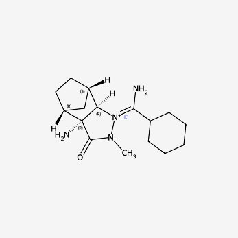 CN1C(=O)[C@@]2(N)[C@@H]3CC[C@@H](C3)[C@H]2/[N+]1=C(\N)C1CCCCC1